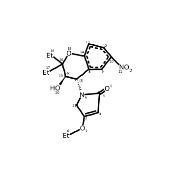 CCOC1=CC(=O)N([C@H]2c3cc([N+](=O)[O-])ccc3OC(CC)(CC)[C@@H]2O)C1